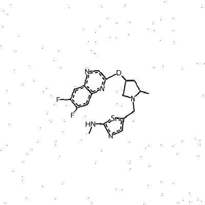 CNc1ncc(CN2CC(Oc3cnc4cc(F)c(F)cc4n3)CC2C)s1